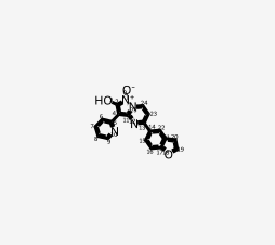 [O-][n+]1c(O)c(-c2ccccn2)c2nc(-c3ccc4occc4c3)ccn21